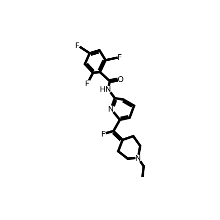 CCN1CCC(=C(F)c2cccc(NC(=O)c3c(F)cc(F)cc3F)n2)CC1